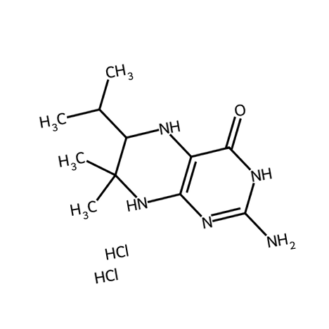 CC(C)C1Nc2c(nc(N)[nH]c2=O)NC1(C)C.Cl.Cl